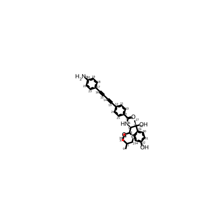 CC12COC([C@@H](NC(=O)c3ccc(C#CC#Cc4ccc(N)cc4)cc3)[C@](C)(O)c3ccc(O)cc3)(OC1)OC2